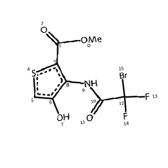 COC(=O)c1scc(O)c1NC(=O)C(F)(F)Br